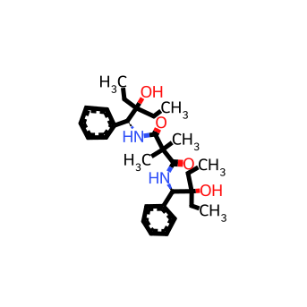 CCC(O)(CC)[C@H](NC(=O)C(C)(C)C(=O)N[C@H](c1ccccc1)C(O)(CC)CC)c1ccccc1